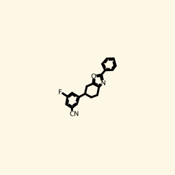 N#Cc1cc(F)cc(C2CCc3nc(-c4ccccc4)oc3C2)c1